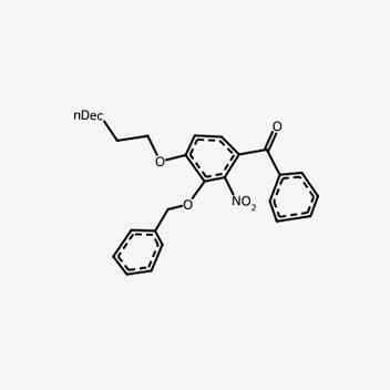 CCCCCCCCCCCCOc1ccc(C(=O)c2ccccc2)c([N+](=O)[O-])c1OCc1ccccc1